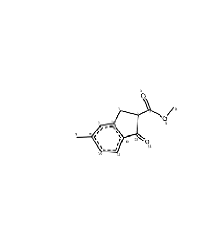 COC(=O)C1Cc2cc(C)ccc2C1=O